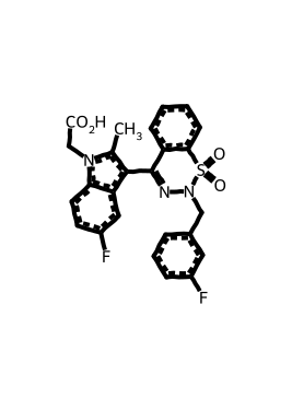 Cc1c(C2=NN(Cc3cccc(F)c3)S(=O)(=O)c3ccccc32)c2cc(F)ccc2n1CC(=O)O